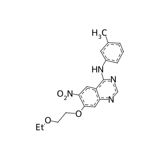 CCOCCOc1cc2ncnc(Nc3cccc(C)c3)c2cc1[N+](=O)[O-]